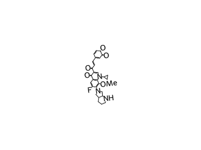 COc1c(N2CC3CCCNC3C2)c(F)cc2c(=O)c(C(=O)C=CC3=CC(=O)C(=O)C=C3)cn(C3CC3)c12